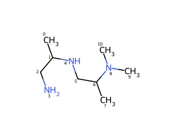 CC(CN)NCC(C)N(C)C